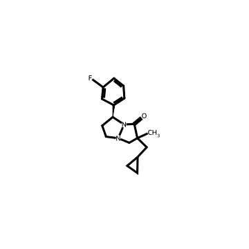 CC1(CC2CC2)CN2CC[C@@H](c3cccc(F)c3)N2C1=O